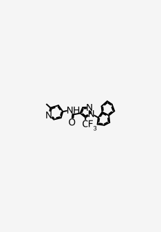 Cc1cc(NC(=O)c2cnn(-c3cccc4ccccc34)c2C(F)(F)F)ccn1